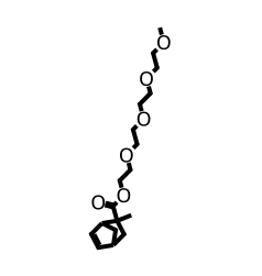 COCCOCCOCCOCCOC(=O)C1(C)CC2C=CC1C2